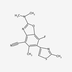 Cc1nc(-c2c(C)c(C#N)c3nc(N(C)C)oc3c2F)cs1